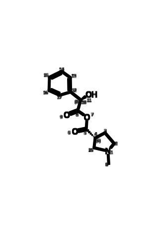 CN1CC[C@@H](C(=O)OC(=O)[C@H](O)c2ccccc2)C1